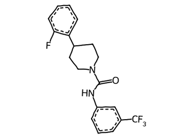 O=C(Nc1cccc(C(F)(F)F)c1)N1CCC(c2ccccc2F)CC1